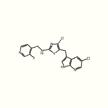 Fc1cnccc1CNc1nc(Cl)c(Cc2c[nH]c3ncc(Cl)cc23)s1